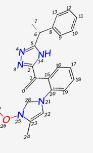 C=C(c1nnc([C@H](C)c2ccccc2)[nH]1)c1ccccc1N1C=C(C)N(OC)C1